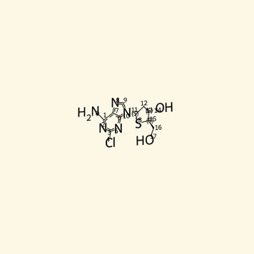 Nc1nc(Cl)nc2c1ncn2[C@@H]1C[C@H](O)[C@@H](CO)S1